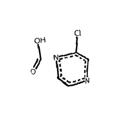 Clc1cnccn1.O=CO